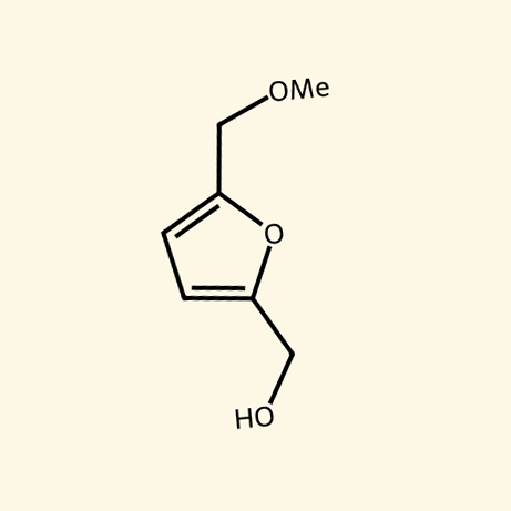 COCc1ccc(CO)o1